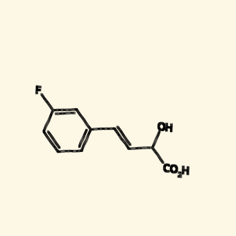 O=C(O)C(O)C=Cc1cccc(F)c1